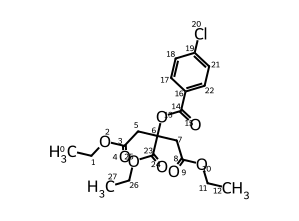 CCOC(=O)CC(CC(=O)OCC)(OC(=O)c1ccc(Cl)cc1)C(=O)OCC